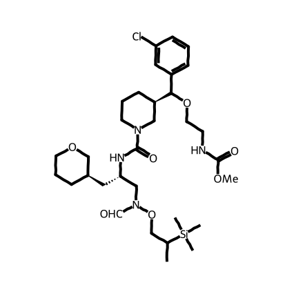 COC(=O)NCCOC(c1cccc(Cl)c1)[C@@H]1CCCN(C(=O)N[C@@H](C[C@H]2CCCOC2)CN(C=O)OCC(C)[Si](C)(C)C)C1